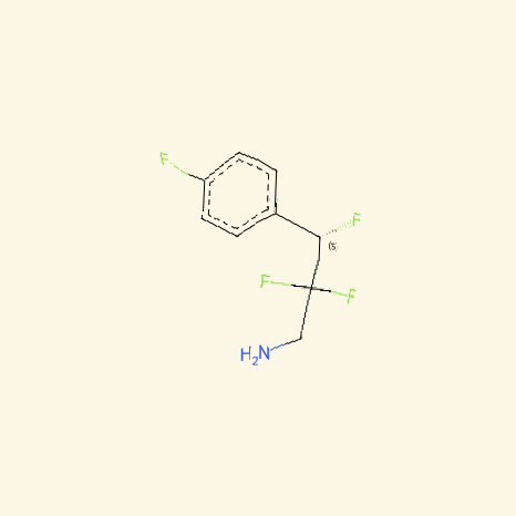 NCC(F)(F)[C@@H](F)c1ccc(F)cc1